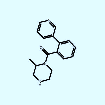 CC1CNCCN1C(=O)c1ccccc1-c1[c]nccc1